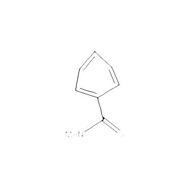 CNC(=S)c1c[c]ccc1